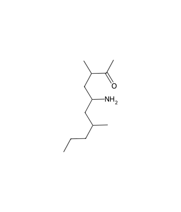 CCCC(C)CC(N)CC(C)C(C)=O